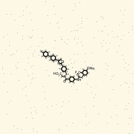 COc1ccc(CC(=O)Nc2ccc(C(=O)N(CC(=O)O)Cc3ccc(-c4nc(-c5ccc(-c6ccc(C)cc6)cc5)co4)cc3)cc2)c(C(F)(F)F)c1